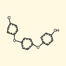 Oc1ccc(Oc2ccc(Oc3ccc(Cl)cc3)cc2)cc1